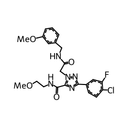 COCCNC(=O)c1nc(-c2ccc(Cl)c(F)c2)nn1CC(=O)NCc1cccc(OC)c1